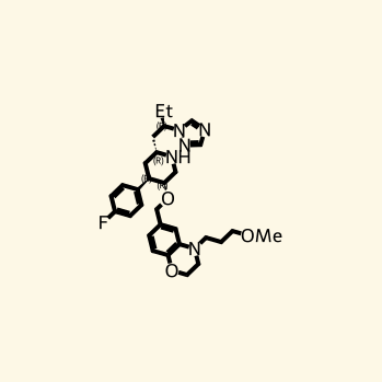 CC[C@H](C[C@H]1C[C@H](c2ccc(F)cc2)[C@@H](OCc2ccc3c(c2)N(CCCOC)CCO3)CN1)n1cncn1